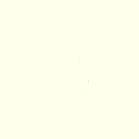 O=C(F)c1ccc(Cl)c(OC(F)(F)F)c1